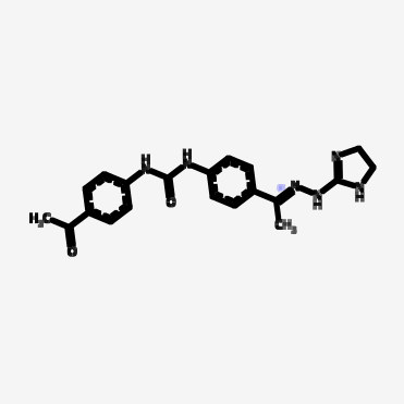 CC(=O)c1ccc(NC(=O)Nc2ccc(/C(C)=N/NC3=NCCN3)cc2)cc1